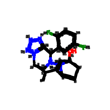 CC(C)C1=CC2(O)CC=C1N2N1CCn2nnnc2C1c1cc(F)ccc1F